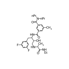 CCCN(CCC)C(=O)c1cc(C)cc(C(=O)NC(Cc2cc(F)cc(F)c2)C(O)CNC(C)C(=O)NCC)c1